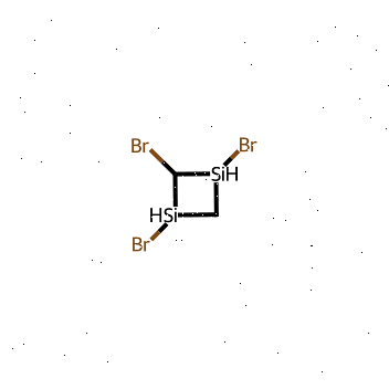 BrC1[SiH](Br)C[SiH]1Br